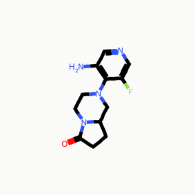 Nc1cncc(F)c1N1CCN2C(=O)CCC2C1